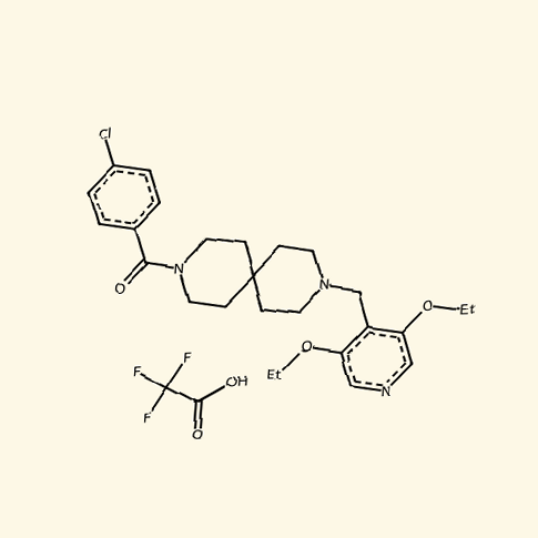 CCOc1cncc(OCC)c1CN1CCC2(CC1)CCN(C(=O)c1ccc(Cl)cc1)CC2.O=C(O)C(F)(F)F